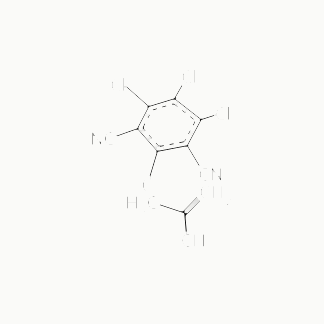 C=C(C)C.N#Cc1c(Cl)c(Cl)c(Cl)c(C#N)c1Cl